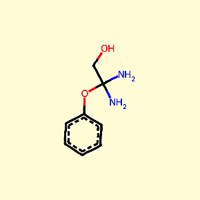 NC(N)(CO)Oc1ccccc1